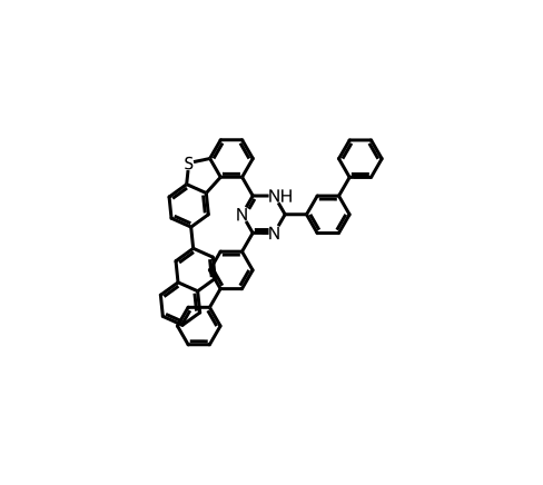 c1ccc(-c2ccc(C3=NC(c4cccc(-c5ccccc5)c4)NC(c4cccc5sc6ccc(-c7ccc8ccccc8c7)cc6c45)=N3)cc2)cc1